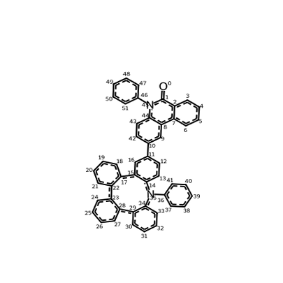 O=c1c2ccccc2c2cc(-c3ccc4c(c3)c3ccccc3c3ccccc3c3ccccc3n4-c3ccccc3)ccc2n1-c1ccccc1